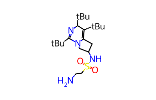 CC(C)(C)C1=NC(C(C)(C)C)C(C(C)(C)C)=C2CC(NS(=O)(=O)CCN)CN12